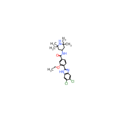 CCOc1cc(C(=O)NC2CC(C)(C)NC(C)(C)C2)ccc1-c1nc2cc(Cl)c(Cl)cc2[nH]1